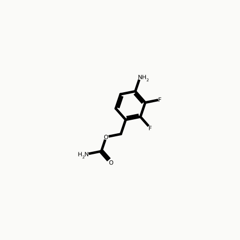 NC(=O)OCc1ccc(N)c(F)c1F